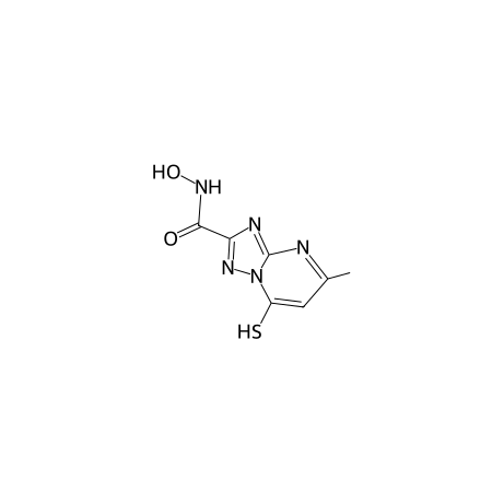 Cc1cc(S)n2nc(C(=O)NO)nc2n1